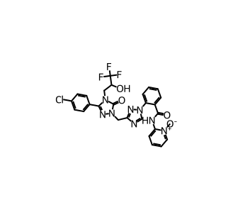 O=C(Nc1cccc[n+]1[O-])c1ccccc1-n1cnc(Cn2nc(-c3ccc(Cl)cc3)n(CC(O)C(F)(F)F)c2=O)n1